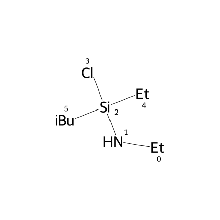 CCN[Si](Cl)(CC)C(C)CC